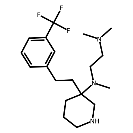 CN(C)CCN(C)C1(CCc2cccc(C(F)(F)F)c2)CCCNC1